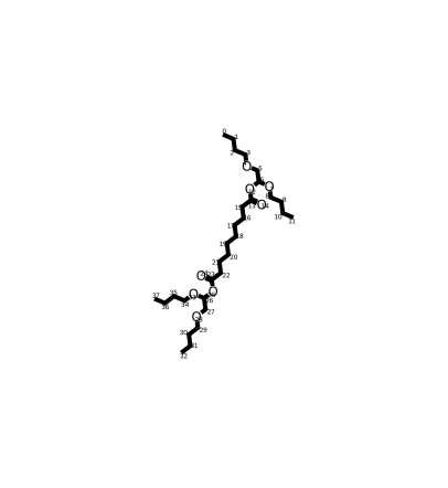 CCCCOCC(OCCCC)OC(=O)CCCCCCCCC(=O)OC(COCCCC)OCCCC